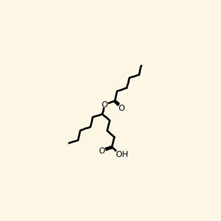 CCCCCC(=O)OC(CCCCC)CCCC(=O)O